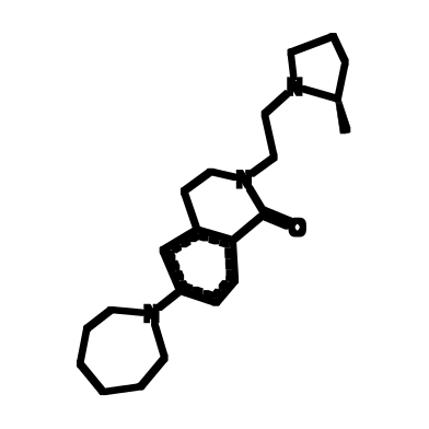 C[C@@H]1CCCN1CCN1CCc2cc(N3CCCCCC3)ccc2C1=O